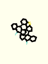 Fc1c2ccccc2c(-c2ccc3sc4cccc(-c5c6ccccc6c(F)c6ccccc56)c4c3c2)c2ccccc12